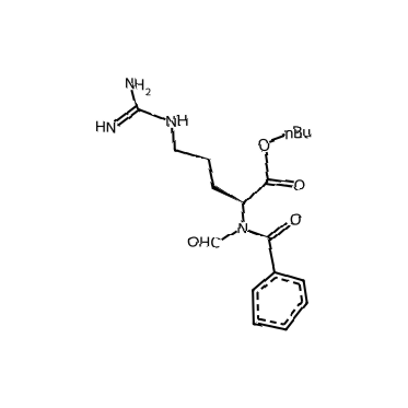 CCCCOC(=O)[C@H](CCCNC(=N)N)N(C=O)C(=O)c1ccccc1